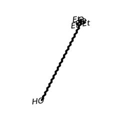 CCO[Si](CCCCCCCCCCCCCCCCCCCCCCCCCCCCCCCCCCCCCO)(OCC)OCC